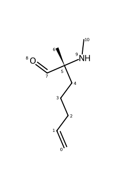 C=CCCC[C@](C)(C=O)NC